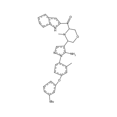 Cc1cc(Oc2cccc(C(C)(C)C)c2)ccc1-n1ncc(C2COCC(C(=O)c3cc4ccccc4[nH]3)N2C)c1N